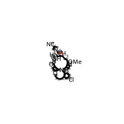 CO[C@H]1/C=C/C[C@H](C)C(NC(=O)N2CC(C#N)C2)/[SH](=O)=N\C(=O)c2ccc3c(c2)N(Cc2ccc(Cl)cc2CCCCO3)C[C@@H]2CC[C@H]21